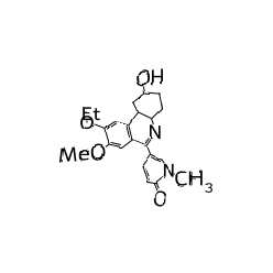 CCOc1cc2c(cc1OC)C(c1ccc(=O)n(C)c1)=NC1CCC(O)CC21